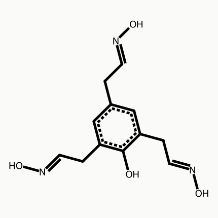 ON=CCc1cc(CC=NO)c(O)c(CC=NO)c1